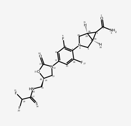 NC(=O)C1[C@H]2CN(c3c(F)cc(N4C[C@@H](CNC(=S)C(F)F)OC4=O)cc3F)C[C@@H]12